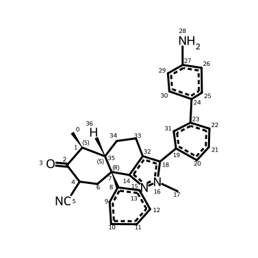 C[C@@H]1C(=O)C(C#N)C[C@@]2(c3ccccc3)c3nn(C)c(-c4cccc(-c5ccc(N)cc5)c4)c3CC[C@@H]12